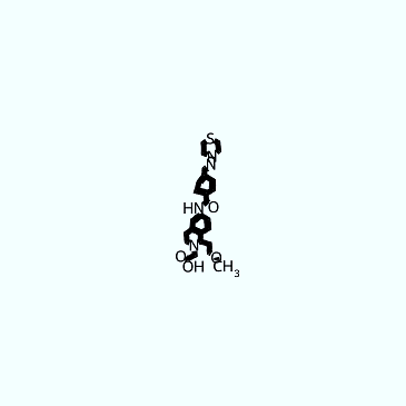 COCCC1c2ccc(NC(=O)c3ccc(C=NN4CCSCC4)cc3)cc2CCN1CC(=O)O